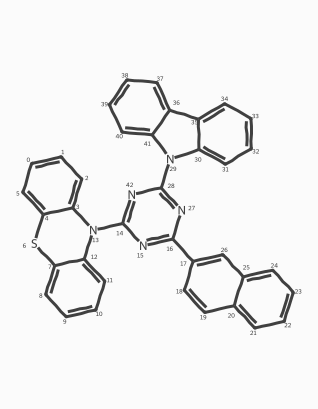 c1ccc2c(c1)Sc1ccccc1N2c1nc(-c2ccc3ccccc3c2)nc(-n2c3ccccc3c3ccccc32)n1